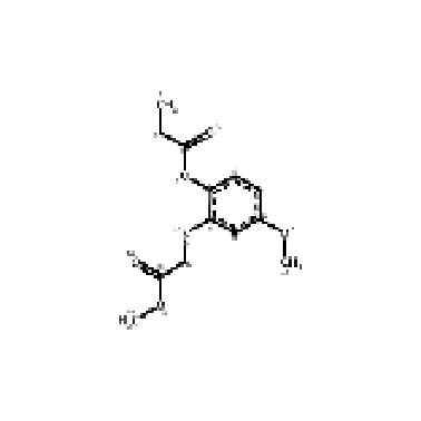 CCC(=O)Oc1ccc(OC)cc1SCC(=O)OC